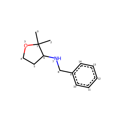 CC1(C)OCCC1NCc1ccccc1